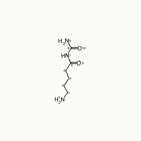 NCCCCC(=O)NC(N)=O